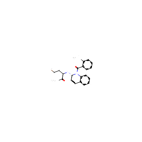 COC(=O)C(CCS)N[C@@H]1C=Cc2ccccc2N1C(=O)c1ccccc1OC